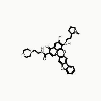 CN1CCCC1CCNc1c(F)cc2c(=O)c(C(=O)NCCN3CCOCC3)cn3c2c1Oc1cc2c(cc1-3)oc1ccccc12